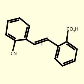 N#Cc1ccccc1/C=C/c1ccccc1C(=O)O